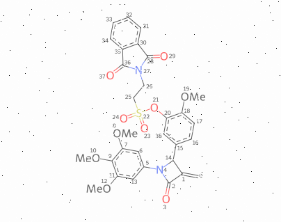 C=C1C(=O)N(c2cc(OC)c(OC)c(OC)c2)C1c1ccc(OC)c(OS(=O)(=O)CCN2C(=O)c3ccccc3C2=O)c1